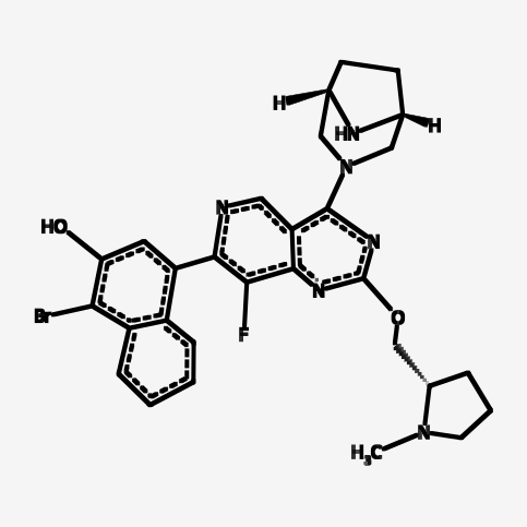 CN1CCC[C@H]1COc1nc(N2C[C@H]3CC[C@@H](C2)N3)c2cnc(-c3cc(O)c(Br)c4ccccc34)c(F)c2n1